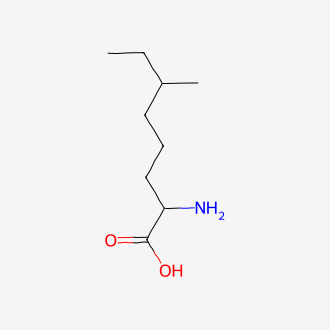 CCC(C)CCCC(N)C(=O)O